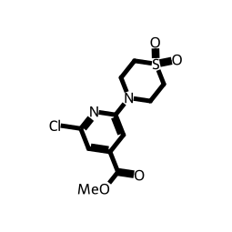 COC(=O)c1cc(Cl)nc(N2CCS(=O)(=O)CC2)c1